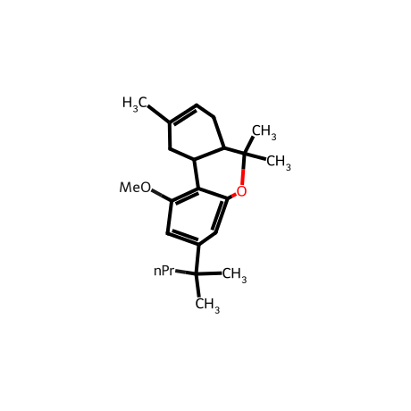 CCCC(C)(C)c1cc(OC)c2c(c1)OC(C)(C)C1CC=C(C)CC21